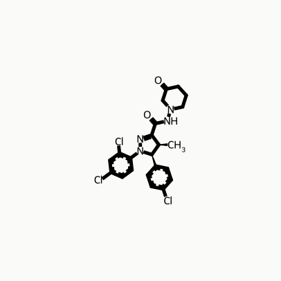 C[C@@H]1C(C(=O)NN2CCCC(=O)C2)=NN(c2ccc(Cl)cc2Cl)[C@@H]1c1ccc(Cl)cc1